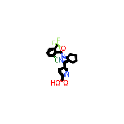 O=C(O)c1ccc(-c2nn(C(=O)c3c(Cl)cccc3C(F)(F)F)c3c2CCCC3)cn1